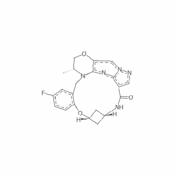 C[C@@H]1COc2cn3ncc4c3nc2N1Cc1cc(F)ccc1O[C@H]1C[C@H](C1)NC4=O